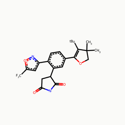 CC(C)(C)C1=C(c2ccc(-c3cc(C(F)(F)F)on3)c(C3CC(=O)[N]C3=O)c2)OCC1(C)C